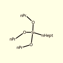 CCCCCCC[Si](OCCC)(OCCC)OCCC